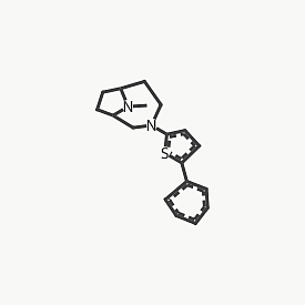 CN1C2CCC1CN(c1ccc(-c3ccccc3)s1)CC2